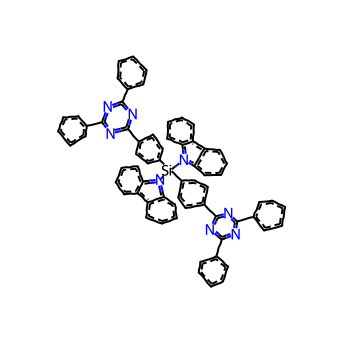 c1ccc(-c2nc(-c3ccccc3)nc(-c3ccc([Si](c4ccc(-c5nc(-c6ccccc6)nc(-c6ccccc6)n5)cc4)(n4c5ccccc5c5ccccc54)n4c5ccccc5c5ccccc54)cc3)n2)cc1